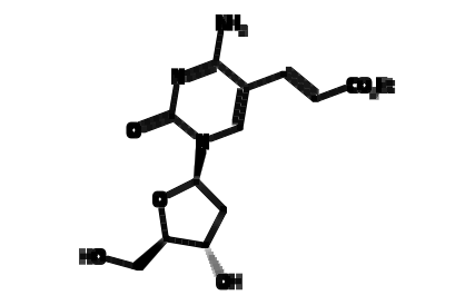 CCOC(=O)C=Cc1cn([C@H]2C[C@H](O)[C@@H](CO)O2)c(=O)nc1N